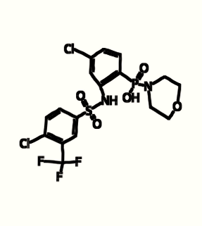 O=P(O)(c1ccc(Cl)cc1NS(=O)(=O)c1ccc(Cl)c(C(F)(F)F)c1)N1CCOCC1